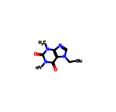 CCCn1c(=O)c2c(ncn2CC(C)(C)C)n(C)c1=O